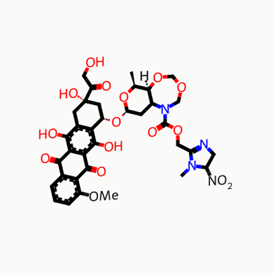 COc1cccc2c1C(=O)c1c(O)c3c(c(O)c1C2=O)C[C@@](O)(C(=O)CO)C[C@@H]3O[C@H]1CC2[C@H](OCOCN2C(=O)OCC2=NCC([N+](=O)[O-])N2C)[C@H](C)O1